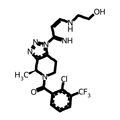 C[C@H]1c2nnn(C(=N)/C=C\NCCO)c2CCN1C(=O)c1cccc(C(F)(F)F)c1Cl